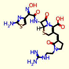 N=C(N)NCCN1CCC(=CC2=C(C(=O)O)N3C(=O)[C@@H](NC(=O)/C(=N\O)c4csc(N)n4)[C@H]3SC2)C1=O